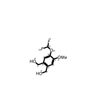 COc1cc(CO)c(CO)cc1OC(F)F